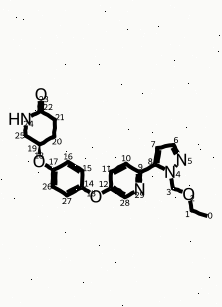 CCOCn1nccc1-c1ccc(Oc2ccc(O[C@@H]3CCC(=O)NC3)cc2)cn1